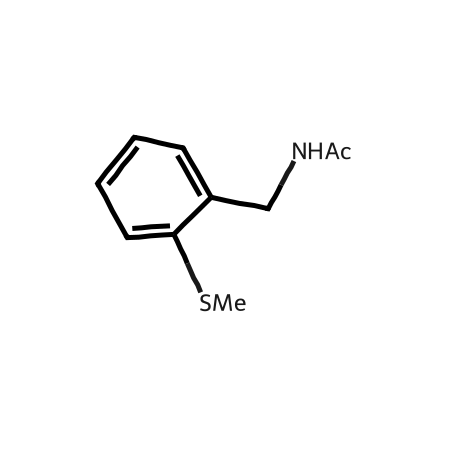 CSc1ccccc1CNC(C)=O